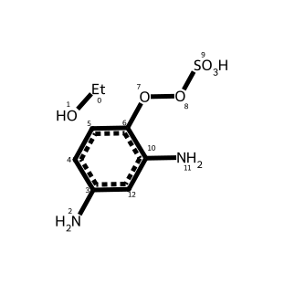 CCO.Nc1ccc(OOS(=O)(=O)O)c(N)c1